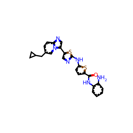 Nc1ccccc1NC(=O)c1ccc(Nc2ncc(-c3cnc4ccc(CC5CC5)cn34)s2)s1